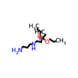 CCCO[Si](CC)(CCNCCCN)OCCC